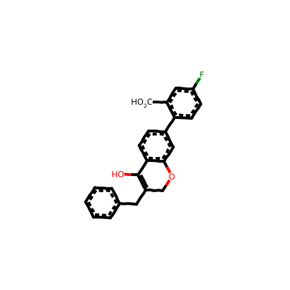 O=C(O)c1cc(F)ccc1-c1ccc2c(c1)OCC(Cc1ccccc1)=C2O